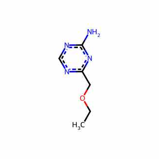 CCOCc1ncnc(N)n1